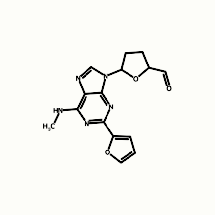 CNc1nc(-c2ccco2)nc2c1ncn2C1CCC(C=O)O1